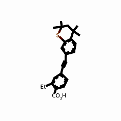 CCc1cc(C#Cc2ccc3c(c2)SC(C)(C)CC3(C)C)ccc1C(=O)O